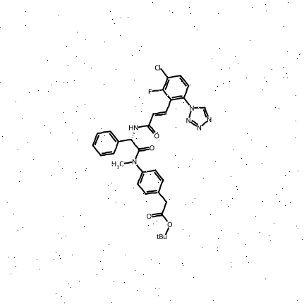 CN(C(=O)[C@@H](NC(=O)/C=C/c1c(-n2cnnn2)ccc(Cl)c1F)c1ccccc1)c1ccc(CC(=O)OC(C)(C)C)cc1